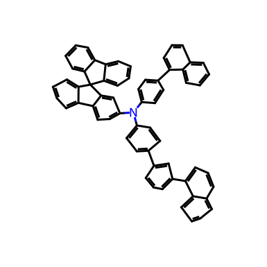 c1cc(-c2ccc(N(c3ccc(-c4cccc5ccccc45)cc3)c3ccc4c(c3)C3(c5ccccc5-c5ccccc53)c3ccccc3-4)cc2)cc(-c2cccc3ccccc23)c1